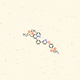 CC(Cc1cc(-c2cccc(-c3ccc(Oc4ccc(S(C)(=O)=O)cc4)nc3)c2)c2ncccc2c1)S(C)(=O)=O